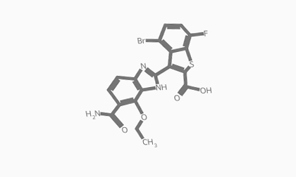 CCOc1c(C(N)=O)ccc2nc(-c3c(C(=O)O)sc4c(F)ccc(Br)c34)[nH]c12